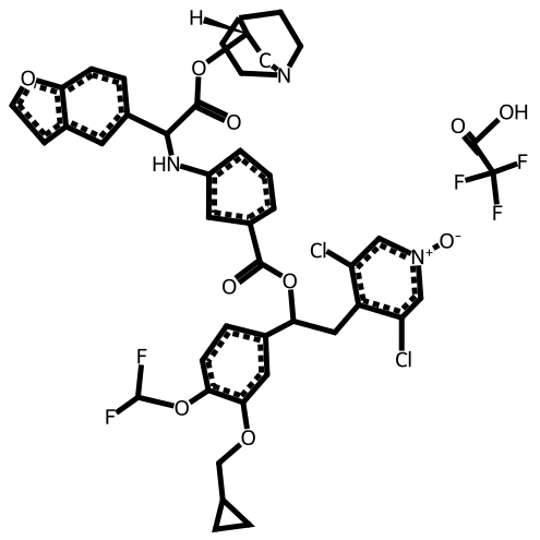 O=C(O)C(F)(F)F.O=C(OC(Cc1c(Cl)c[n+]([O-])cc1Cl)c1ccc(OC(F)F)c(OCC2CC2)c1)c1cccc(NC(C(=O)O[C@H]2CN3CCC2CC3)c2ccc3occc3c2)c1